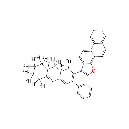 [2H]C1C(c2coc3c2ccc2c4ccccc4ccc23)=C(c2ccccc2)C=C2C=C3C([2H])([2H])C([2H])([2H])C([2H])([2H])C([2H])([2H])C3([2H])C([2H])([2H])C21[2H]